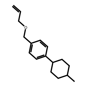 C=CCOCc1ccc(C2CCC(C)CC2)cc1